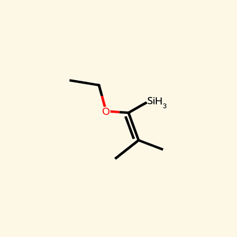 CCOC([SiH3])=C(C)C